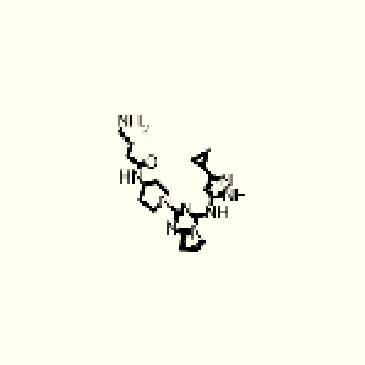 NCCCC(=O)NC1CCN(c2nc(Nc3cc(C4CC4)n[nH]3)n3cccc3n2)CC1